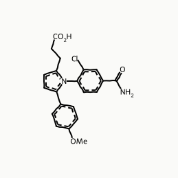 COc1ccc(-c2ccc(CCC(=O)O)n2-c2ccc(C(N)=O)cc2Cl)cc1